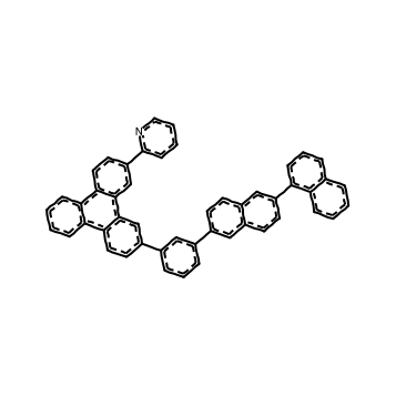 c1ccc(-c2ccc3c4ccccc4c4ccc(-c5cccc(-c6ccc7cc(-c8cccc9ccccc89)ccc7c6)c5)cc4c3c2)nc1